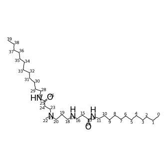 CCCCCCCCCCCCNC(=O)CCNCCCN(C)CCC(=O)NCCCCCCCCCCCC